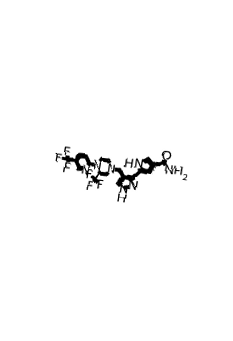 NC(=O)c1c[nH]c(-c2n[nH]cc2CN2CCN(c3ccc(C(F)(F)F)cn3)[C@H](C(F)(F)F)C2)c1